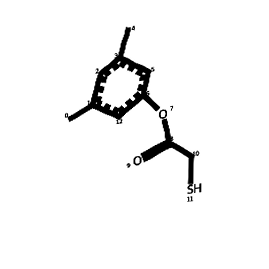 Cc1cc(C)cc(OC(=O)CS)c1